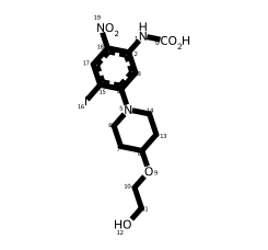 O=C(O)Nc1cc(N2CCC(OCCO)CC2)c(I)cc1[N+](=O)[O-]